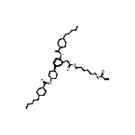 C=CC(=O)OCCCCCCOC(=O)Cc1cc(C2CCC(OC(=O)C3CCC(CCCCC)CC3)CC2)ccc1OC(=O)C1CCC(CCCCC)CC1